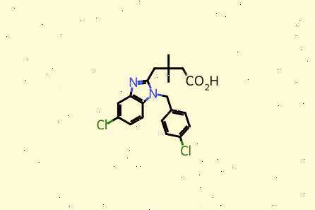 CC(C)(CC(=O)O)Cc1nc2cc(Cl)ccc2n1Cc1ccc(Cl)cc1